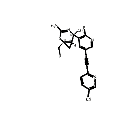 C[C@]1(c2cc(C#Cc3ccc(C#N)cn3)cnc2F)N=C(N)S[C@@]2(CF)C[C@H]21